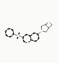 O=S(=O)(c1ccccc1)c1cnc2ccc(N3C[C@H]4CN[C@@H]4C3)cc2c1